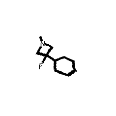 CN1CC(F)(C2CCCCC2)C1